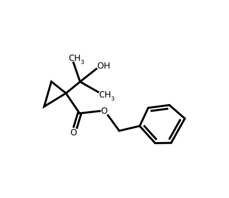 CC(C)(O)C1(C(=O)OCc2ccccc2)CC1